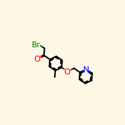 Cc1cc(C(=O)CBr)ccc1OCc1ccccn1